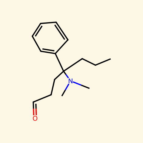 CCCC(CCC=O)(c1ccccc1)N(C)C